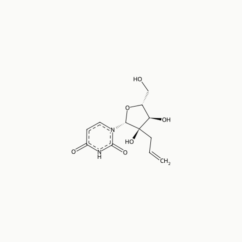 C=CC[C@@]1(O)[C@H](O)[C@@H](CO)O[C@H]1n1ccc(=O)[nH]c1=O